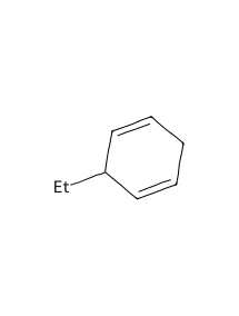 CCC1C=CCC=C1